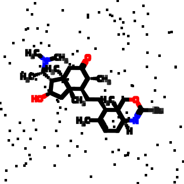 CCC(C)C1=N[C@H]2CC=C(C)[C@@H](CC[C@@H]3[C@@H](C)C(=O)C[C@]4(C)[C@@H]([C@H](C)N(C)C)[C@H](O)C[C@@]34C)[C@]2(C)CO1